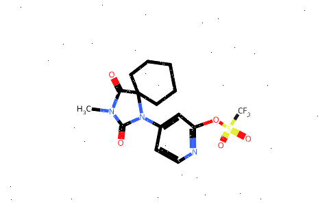 CN1C(=O)N(c2ccnc(OS(=O)(=O)C(F)(F)F)c2)C2(CCCCC2)C1=O